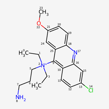 CC[N+](CC)(CCCN)c1c2ccc(Cl)cc2nc2ccc(OC)cc12